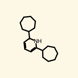 C1=C[C](C2CCCCCC2)NC(C2CCCCCC2)=C1